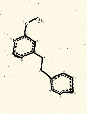 COc1cc(CCc2ccccc2)ccn1